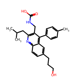 Cc1ccc(-c2c(CNC(=O)O)c(CC(C)C)nc3ccc(CCCO)cc23)cc1